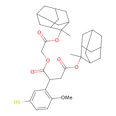 COc1ccc(S)cc1C(CC(=O)OC1(C)C2CC3CC(C2)CC1C3)C(=O)OCC(=O)OC1(C)C2CC3CC(C2)CC1C3